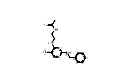 CC(=O)NCCNc1nc(NCc2ccccc2)ncc1N